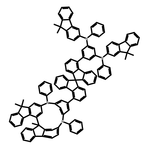 CC1(C)c2ccccc2-c2cc(N(c3ccccc3)c3cc(-c4cccc5c4-c4ccccc4C54c5ccccc5-c5c(-c6cc7cc(c6)N(c6ccccc6)c6cc8c(c(c6)C6(C)c9ccccc9-c9ccc(cc96)N7c6ccccc6)-c6ccccc6C8(C)C)cccc54)cc(N(c4ccccc4)c4ccc5c(c4)C(C)(C)c4ccccc4-5)c3)ccc21